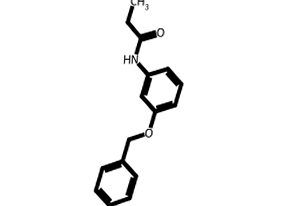 CCC(=O)Nc1cccc(OCc2ccccc2)c1